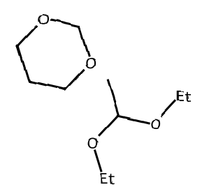 C1COCOC1.CCOC(C)OCC